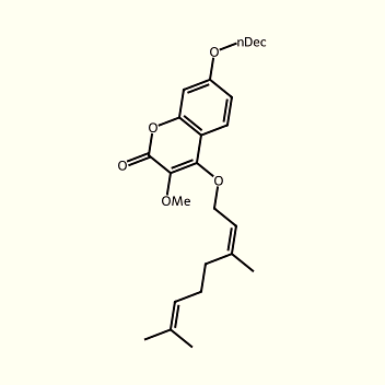 CCCCCCCCCCOc1ccc2c(OCC=C(C)CCC=C(C)C)c(OC)c(=O)oc2c1